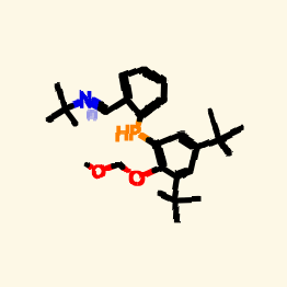 COCOc1c(Pc2ccccc2/C=N/C(C)(C)C)cc(C(C)(C)C)cc1C(C)(C)C